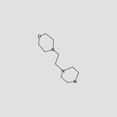 C1CN(CCN2CCOCC2)CC[N]1